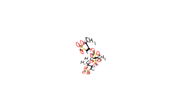 CC1OS(=O)(=O)CC1OS(=O)(=O)C(C)(C)S(=O)(=O)OC1CS(=O)(=O)OC1C